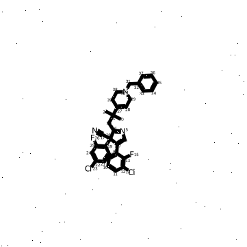 CC(C)(CC1=NC=C(c2cccc(Cl)c2F)C1(C#N)c1ccc(Cl)cc1F)C1=CCN(Cc2ccccc2)CC1